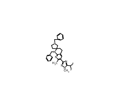 Cc1nc2c(cc1-c1nc(C(F)F)n(C)n1)CCC1(CCN(Cc3ccccc3)C1)N2Cc1ccccc1